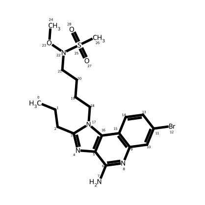 CCCc1nc2c(N)nc3cc(Br)ccc3c2n1CCCCN(OC)S(C)(=O)=O